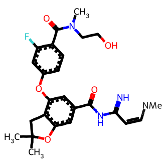 CN/C=C\C(=N)NC(=O)c1cc(Oc2ccc(C(=O)N(C)CCO)c(F)c2)c2c(c1)OC(C)(C)C2